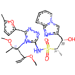 C=C(OC)/C(=C(\C)OC)n1c(NS(=O)(=O)[C@@H](C)[C@@H](O)c2cn3ccccc3n2)nnc1-c1ccc(C)o1